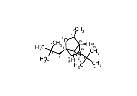 C[C@@H]1O[C@@]2(CC(C)(C)C)CN(C(C)(C)C)[C@@H]1[C@@H]2O